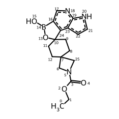 CCOC(=O)N1CC2(CCC3(CC2)OB(O)c2cnc4[nH]ccc4c23)C1